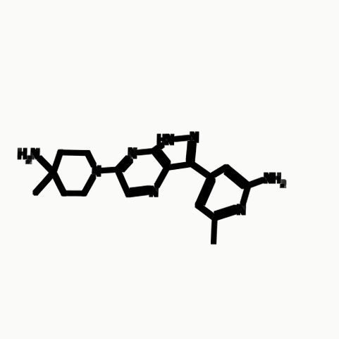 Cc1cc(-c2n[nH]c3nc(N4CCC(C)(N)CC4)cnc23)cc(N)n1